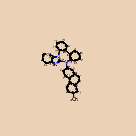 N#Cc1ccc2c(ccc3cc(N4c5ccccc5-c5ccccc5-n5c4nc4ccccc45)ccc32)c1